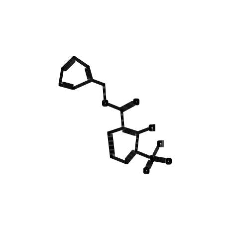 O=C(OCc1ccccc1)c1cccc(S(=O)(=O)Cl)c1Cl